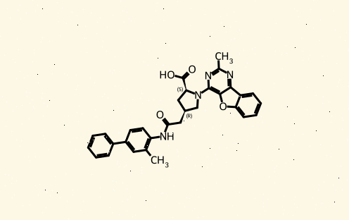 Cc1nc(N2C[C@@H](CC(=O)Nc3ccc(-c4ccccc4)cc3C)C[C@H]2C(=O)O)c2oc3ccccc3c2n1